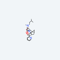 CC(C)CCN(C)[C@H]1CCN([C@]2(C(=O)c3ccccn3)C3CCOC(C)(C)CC24CC4C3)C1